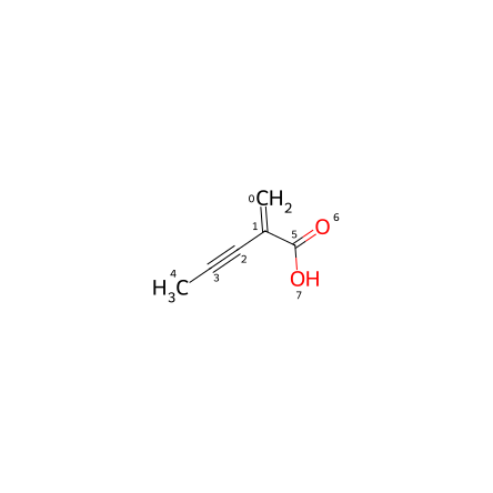 C=C(C#CC)C(=O)O